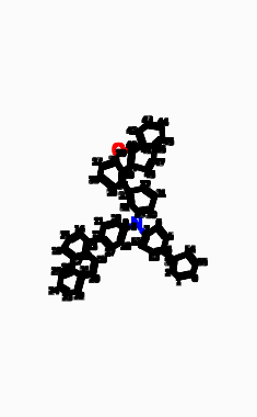 c1ccc(-c2ccc(N(c3ccc(-c4cccc5c4ccc4ccccc45)cc3)c3cccc(-c4cccc5oc6c7ccccc7ccc6c45)c3)cc2)cc1